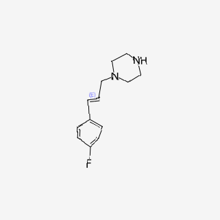 Fc1ccc(/C=C/CN2CCNCC2)cc1